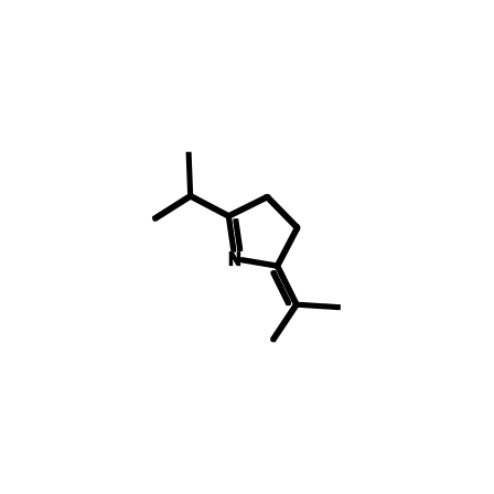 CC(C)=C1CCC(C(C)C)=N1